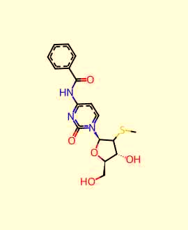 CSC1[C@H](n2ccc(NC(=O)c3ccccc3)nc2=O)O[C@H](CO)[C@H]1O